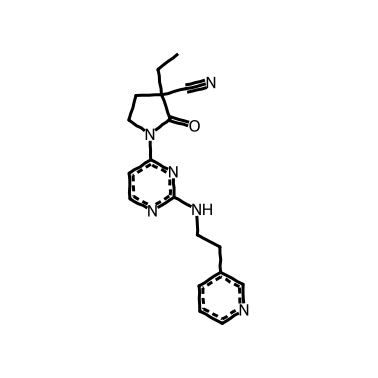 CCC1(C#N)CCN(c2ccnc(NCCc3cccnc3)n2)C1=O